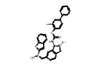 CN(Cc1ccc2c(c1)[C@@H](NC(=O)Oc1ccc(-c3ccccc3)cc1F)[C@H](O)C2)c1cc2ccccc2s1